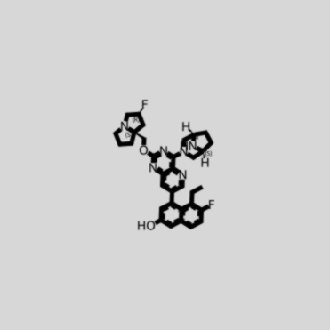 CCc1c(F)ccc2cc(O)cc(-c3cnc4c(N5C[C@H]6CC[C@@H](C5)N6)nc(OC[C@@]56CCCN5C[C@H](F)C6)nc4c3)c12